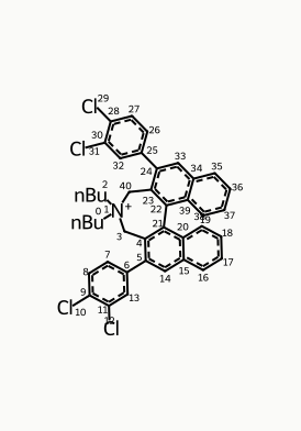 CCCC[N+]1(CCCC)Cc2c(-c3ccc(Cl)c(Cl)c3)cc3ccccc3c2-c2c(c(-c3ccc(Cl)c(Cl)c3)cc3ccccc23)C1